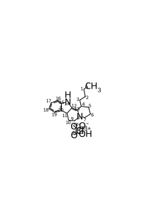 CCCCC1CCCN2CCC3C(=C12)Nc1ccccc13.[O-][Cl+3]([O-])([O-])O